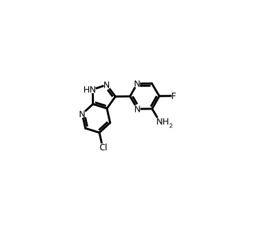 Nc1nc(-c2n[nH]c3ncc(Cl)cc23)ncc1F